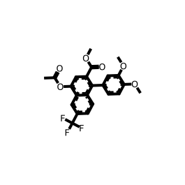 COC(=O)c1cc(OC(C)=O)c2cc(C(F)(F)F)ccc2c1-c1ccc(OC)c(OC)c1